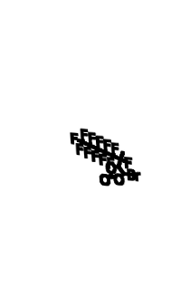 CC(F)(C1OC(=O)OC1Br)C(F)(F)C(F)(F)C(F)(F)C(F)(F)C(F)(F)F